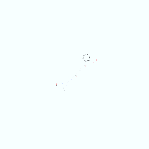 COC(=O)CC(N)(CCCNC(=O)OCOC(=O)c1ccccc1OC(C)=O)C(F)F